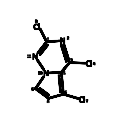 Clc1nc(Cl)c2c(Cl)ccn2n1